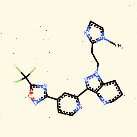 Cn1ccnc1CCn1nc(-c2cc(-c3noc(C(F)(F)F)n3)ccn2)c2ncccc21